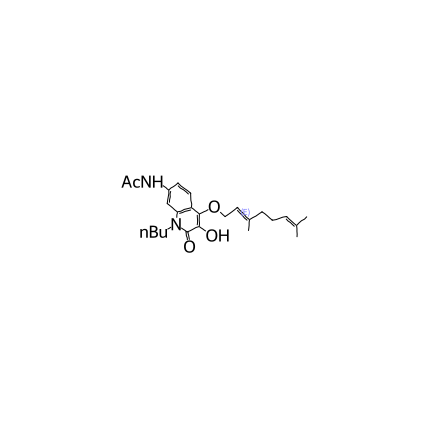 CCCCn1c(=O)c(O)c(OC/C=C(\C)CCC=C(C)C)c2ccc(NC(C)=O)cc21